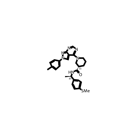 CSc1ccc([C@@H](C)NC(=O)[C@H]2CCCN(c3ncnc4nn(-c5ccc(C)cc5)cc34)C2)cc1